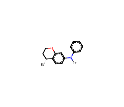 CC[C@@H]1CCOc2cc(N(CC)c3ccccc3)ccc21